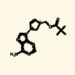 CC(C)(C)C(=O)OC[C@@H]1C=C[C@H](n2cnc3c(N)ncnc32)C1